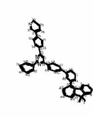 CC1(C)c2ccccc2-c2c(-c3cccc(-c4ccc(-c5cc(-c6ccc(-c7cccnc7)cc6)nc(-c6ccccc6)n5)cc4)c3)cccc21